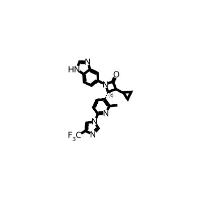 Cc1nc(-n2cnc(C(F)(F)F)c2)ccc1[C@H]1C(C2CC2)C(=O)N1c1ccc2[nH]cnc2c1